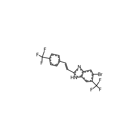 FC(F)(F)c1ccc(C=Cc2nc3cc(Br)c(C(F)(F)F)cc3[nH]2)cc1